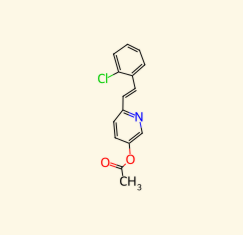 CC(=O)Oc1ccc(/C=C/c2ccccc2Cl)nc1